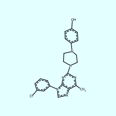 Cc1nc(N2CCN(c3ccc(O)cc3)CC2)nc2c1ncn2-c1cccc(Cl)c1